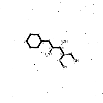 CC(C)S[C@H](CO)[C@@H](O)[C@@H](N)CC1CCCCC1